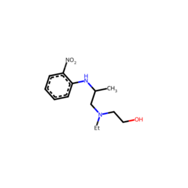 CCN(CCO)CC(C)Nc1ccccc1[N+](=O)[O-]